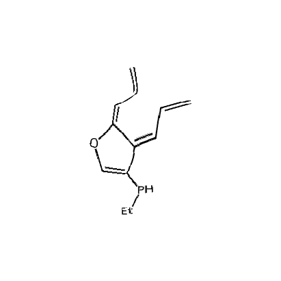 C=C/C=c1/occ(PCC)/c1=C/C=C